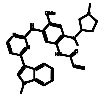 C=CC(=O)Nc1cc(Nc2nccc(-c3cn(C)c4ccccc34)n2)c(OC)cc1N(C)C1CCN(C)C1